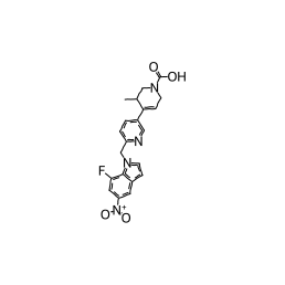 CC1CN(C(=O)O)CC=C1c1ccc(Cn2ccc3cc([N+](=O)[O-])cc(F)c32)nc1